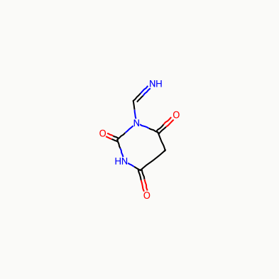 N=CN1C(=O)CC(=O)NC1=O